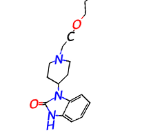 COCCOCCN1CCC(n2c(=O)[nH]c3ccccc32)CC1